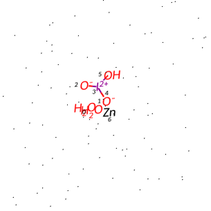 O.O.[O-][I+2]([O-])O.[Zn]